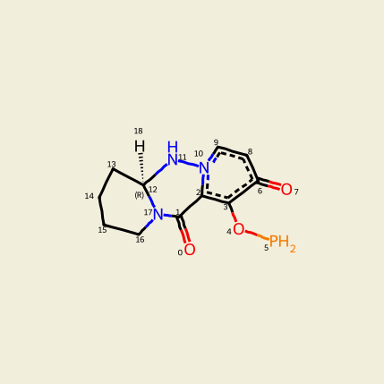 O=C1c2c(OP)c(=O)ccn2N[C@@H]2CCCCN12